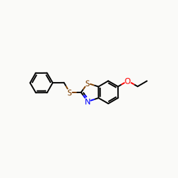 CCOc1ccc2nc(SCc3ccccc3)sc2c1